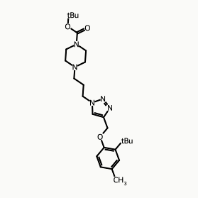 Cc1ccc(OCc2cn(CCCN3CCN(C(=O)OC(C)(C)C)CC3)nn2)c(C(C)(C)C)c1